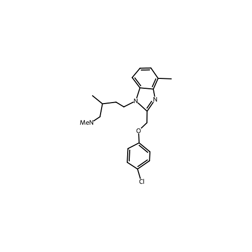 CNCC(C)CCn1c(COc2ccc(Cl)cc2)nc2c(C)cccc21